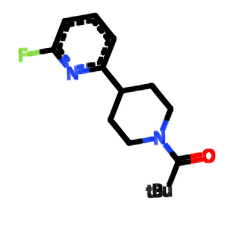 CC(C)(C)C(=O)N1CCC(c2cccc(F)n2)CC1